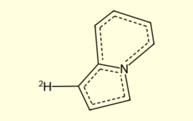 [2H]c1ccn2ccccc12